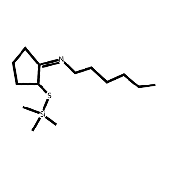 CCCCCCN=C1CCCC1S[Si](C)(C)C